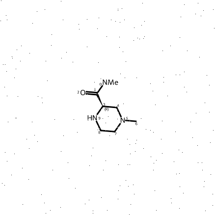 CNC(=O)[C@H]1CN(C)CCN1